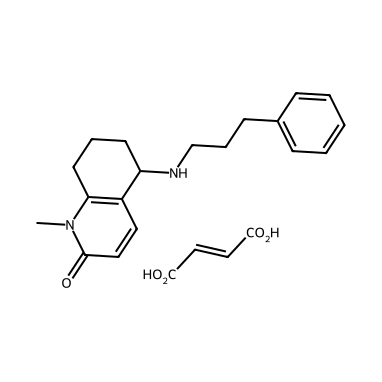 Cn1c2c(ccc1=O)C(NCCCc1ccccc1)CCC2.O=C(O)/C=C/C(=O)O